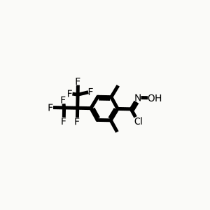 Cc1cc(C(F)(C(F)(F)F)C(F)(F)F)cc(C)c1/C(Cl)=N/O